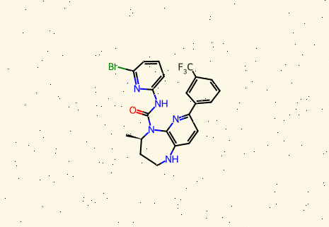 C[C@@H]1CCNc2ccc(-c3cccc(C(F)(F)F)c3)nc2N1C(=O)Nc1cccc(Br)n1